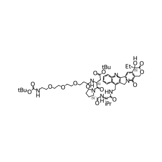 CC[C@@]1(O)C(=O)OCc2c1cc1n(c2=O)Cc2c-1nc1ccccc1c2CNC(=O)[C@@H](NC(=O)[C@@H]1CCCN1C(=O)[C@H](CC(=O)OC(C)(C)C)NC(=O)CCOCCOCCOCCNC(=O)OC(C)(C)C)C(C)C